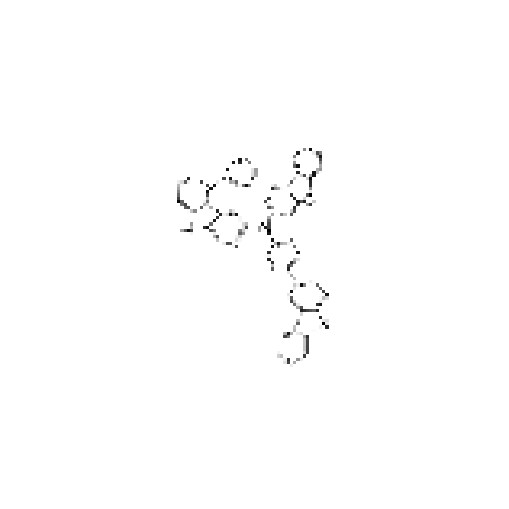 CC1(C)c2ccc(N(c3ccc(-c4ccc5sc6ccccc6c5c4)cc3)c3ccc4c(c3)oc3ccccc34)cc2-c2c(-c3ccccc3)cccc21